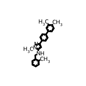 Cc1ccc(-c2ccc(-c3cc(NCc4ccccc4C)n(C)n3)cc2)cc1C